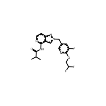 CC(C)C(=O)Nc1nccc2nn(Cc3cnc(OCC(F)F)c(F)c3)cc12